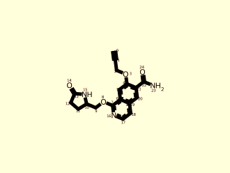 C#CCOc1cc2c(OCC3CCC(=O)N3)nccc2cc1C(N)=O